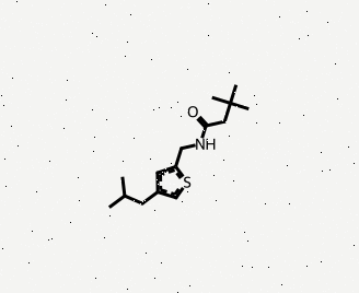 CC(C)Cc1csc(CNC(=O)CC(C)(C)C)c1